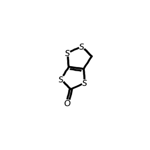 O=c1sc2c(s1)SSC2